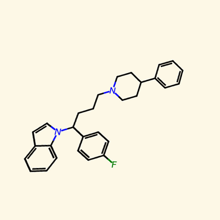 Fc1ccc(C(CCCN2CCC(c3ccccc3)CC2)n2ccc3ccccc32)cc1